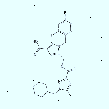 Cc1cc(C(=O)OCc2cc(C(=O)O)nn2Cc2ccc(F)cc2F)nn1CC1CCCCC1